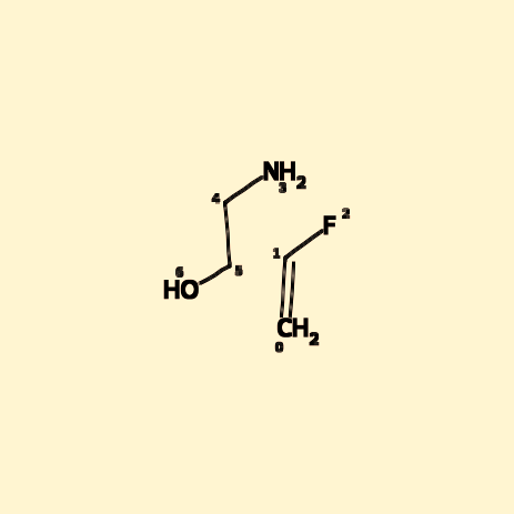 C=CF.NCCO